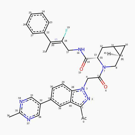 CC(=O)c1nn(CC(=O)N2C[C@@H]3CC3C[C@H]2C(=O)NC/C(F)=C(\C)c2ccccc2)c2ccc(-c3cnc(C)nc3)cc12